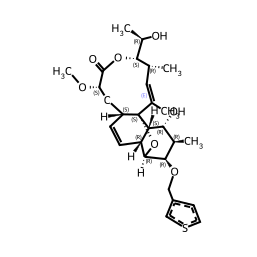 CO[C@H]1C[C@H]2C=C[C@H]3[C@H]4O[C@]2(/C(C)=C/[C@@H](C)[C@@H]([C@@H](C)O)OC1=O)[C@@H]3[C@H](O)[C@@H](C)[C@H]4OCc1ccsc1